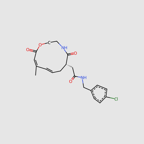 CC1=C/C(=O)OCCNC(=O)[C@H](CC(=O)NCc2ccc(Cl)cc2)C\C=C\1